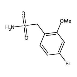 COc1cc(Br)ccc1CS(N)(=O)=O